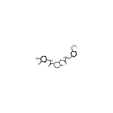 COc1cccc(CNC(=O)CC2CN(C(=O)Nc3ccc(Cl)c(Cl)c3)CCN2)c1